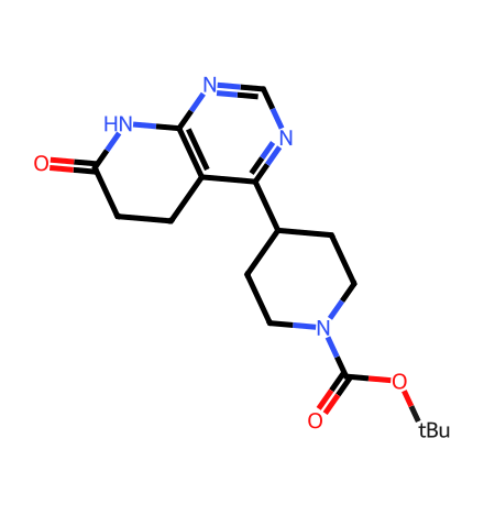 CC(C)(C)OC(=O)N1CCC(c2ncnc3c2CCC(=O)N3)CC1